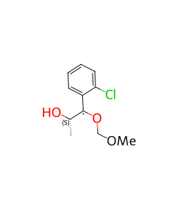 COCO[C](c1ccccc1Cl)[C@H](C)O